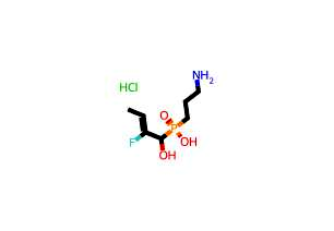 CC=C(F)C(O)P(=O)(O)CCCN.Cl